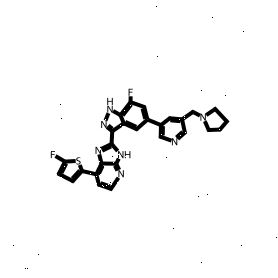 Fc1ccc(-c2ccnc3[nH]c(-c4n[nH]c5c(F)cc(-c6cncc(CN7CCCC7)c6)cc45)nc23)s1